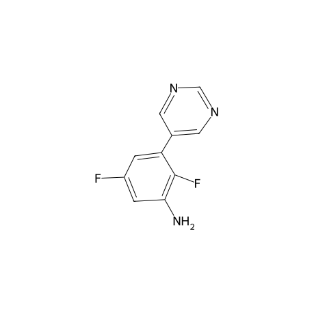 Nc1cc(F)cc(-c2cncnc2)c1F